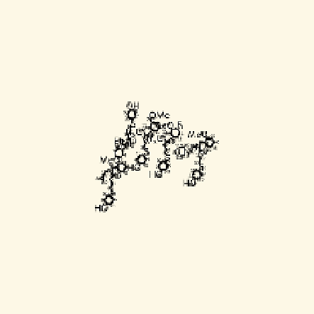 CCN(Cc1ccccc1OC)C(=O)CCCSc1ccc(O)cc1.COCc1ccccc1CN(C)C(=O)CCCSc1ccc(O)cc1.COc1c(F)cccc1CN(C)C(=O)CCCSc1ccc(O)cc1.COc1ccccc1CN(CC1CC1)C(=O)CCCSc1ccc(O)cc1.COc1ccccc1CN(CCN1CCOCC1)C(=O)CCCSc1ccc(O)cc1